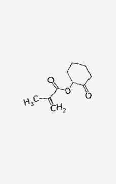 C=C(C)C(=O)OC1CCCCC1=O